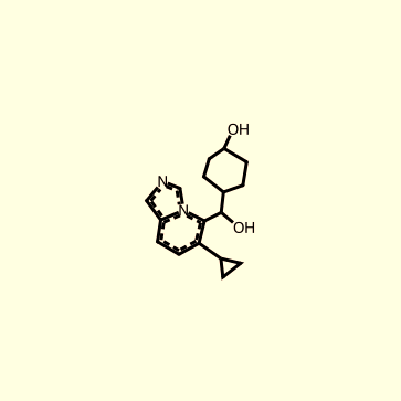 OC1CCC(C(O)c2c(C3CC3)ccc3cncn23)CC1